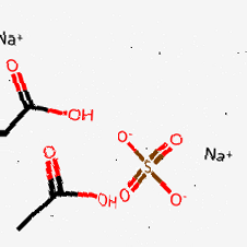 CC(=O)O.CC(=O)O.O=S(=O)([O-])[O-].[Na+].[Na+]